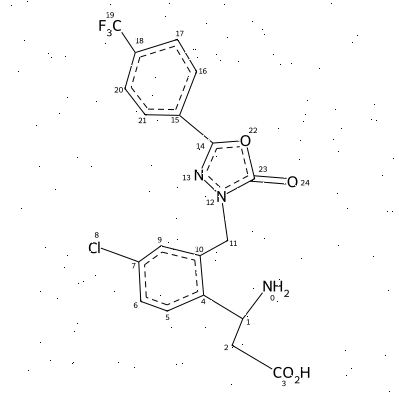 NC(CC(=O)O)c1ccc(Cl)cc1Cn1nc(-c2ccc(C(F)(F)F)cc2)oc1=O